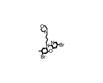 Cc1cc2c(cc1Br)Oc1cc(Br)cnc1N2CCCCN1CCOCC1